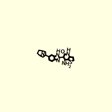 CN1C2CCC1CC(c1ccc3nc(-c4c(N)c5sccc5[nH]c4=O)[nH]c3c1)C2